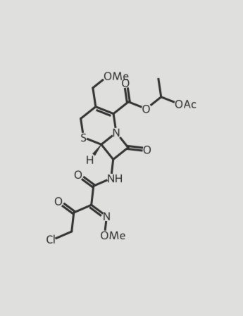 COCC1=C(C(=O)OC(C)OC(C)=O)N2C(=O)C(NC(=O)C(=NOC)C(=O)CCl)[C@@H]2SC1